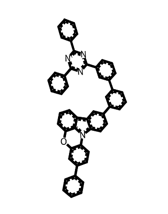 c1ccc(-c2ccc3c(c2)Oc2cccc4c5cc(-c6cccc(-c7cccc(-c8nc(-c9ccccc9)nc(-c9ccccc9)n8)c7)c6)ccc5n-3c24)cc1